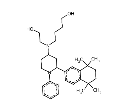 CC1(C)CCC(C)(C)c2cc(C3CC(N(CCO)CCCCO)CCN3c3ccccn3)ccc21